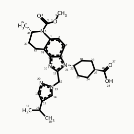 COC(=O)N1c2ccc3c(nc(Cn4cc(C(C)C)cn4)n3[C@H]3CC[C@H](C(=O)O)CC3)c2CC[C@@H]1C